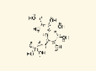 O=P(O)(O)OC[C@H]1OC(C(O)C(O)CO)[C@H](O)[C@@H](O)[C@@H]1O